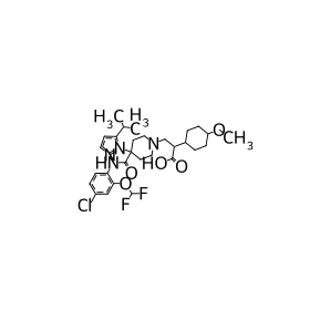 COC1CCC(C(CN2CCC(C(=O)Nc3ccc(Cl)cc3OC(F)F)(n3nccc3C(C)C)CC2)C(=O)O)CC1